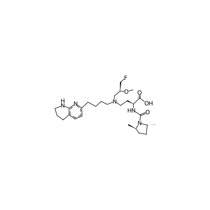 CO[C@H](CF)CN(CCCCc1ccc2c(n1)NCCC2)CC[C@H](NC(=O)N1[C@H](C)CC[C@H]1C)C(=O)O